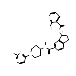 CN(C(=O)c1ccc2c(c1)C(NC(=O)c1cccnc1C(F)(F)F)CC2)C1CCN(c2ccnc(C(C)(C)C)n2)CC1